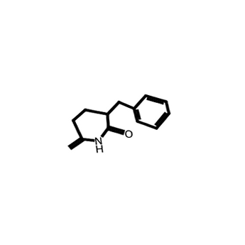 C=C1CCC(Cc2ccccc2)C(=O)N1